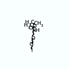 CC(C)(C)OC(=O)NCCCOCCOCCI